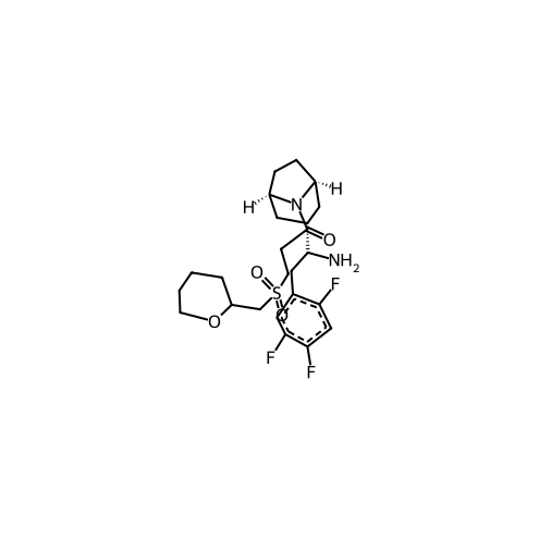 NC(Cc1cc(F)c(F)cc1F)[C@@H]1C[C@H]2CC[C@@H](C1)N2C(=O)CCS(=O)(=O)CC1CCCCO1